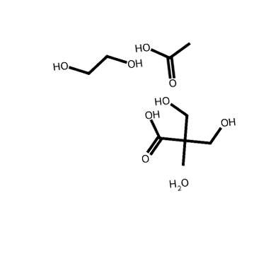 CC(=O)O.CC(CO)(CO)C(=O)O.O.OCCO